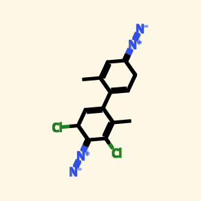 CC1=CC(=[N+]=[N-])CC=C1C1=CC(Cl)C(=[N+]=[N-])C(Cl)=C1C